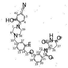 N#Cc1ccc(N2CCN(Cc3ccc(COc4cccc5c4CN([C@H]4CCC(=O)NC4=O)C5=O)c(F)c3)CC2)c(O)c1